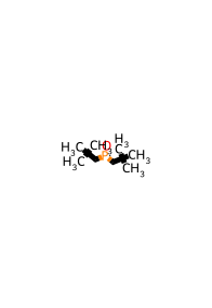 CC(C)(C)C[P](=O)CC(C)(C)C